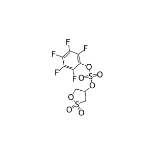 O=S1(=O)CC(OS(=O)(=O)Oc2c(F)c(F)c(F)c(F)c2F)CO1